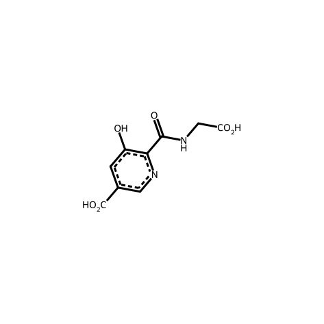 O=C(O)CNC(=O)c1ncc(C(=O)O)cc1O